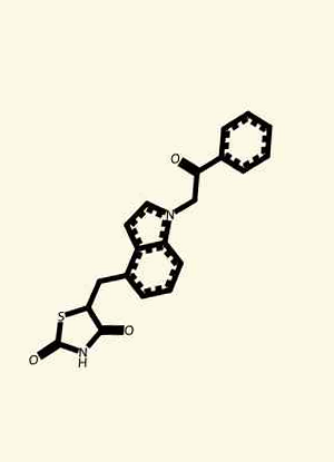 O=C1NC(=O)C(Cc2cccc3c2ccn3CC(=O)c2ccccc2)S1